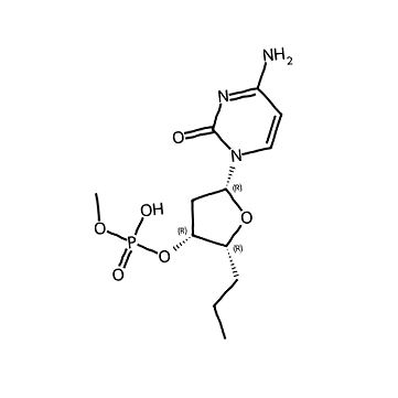 CCC[C@H]1O[C@@H](n2ccc(N)nc2=O)C[C@H]1OP(=O)(O)OC